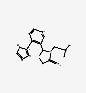 CC(C)CN1C(=O)CSC1c1cnccc1-c1cccs1